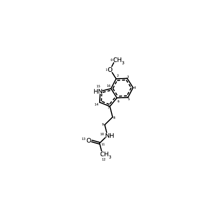 COc1cccc2c(CCNC(C)=O)c[nH]c12